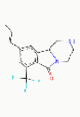 CC=Cc1cc2c(c(C(F)(F)F)c1)C(=O)N1CCNCC21